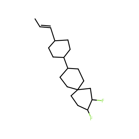 C/C=C/C1CCC(C2CCC3(CCC(F)C(F)C3)CC2)CC1